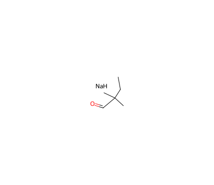 CCC(C)(C)C=O.[NaH]